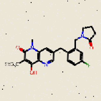 CCOC(=O)c1c(O)c2ncc(Cc3ccc(F)cc3CN3CCCC3=O)cc2n(C)c1=O